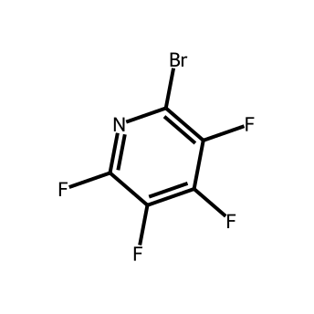 Fc1nc(Br)c(F)c(F)c1F